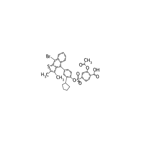 CC(=O)Oc1cc(S(=O)(=O)Oc2ccc(-c3c4ccccc4c(Br)c4sc(C)c(C)c34)cc2C2CCCC2)ccc1C(=O)O